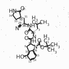 CC(C)C[C@H](NC(=O)C1Cc2c(O)cccc2N1C(=O)OC(C)(C)C)C(=O)N[C@H](C#N)C[C@@H]1CCNC1=O